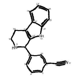 N#Cc1cccc(C2NCCc3c2[nH]c2ccccc32)c1